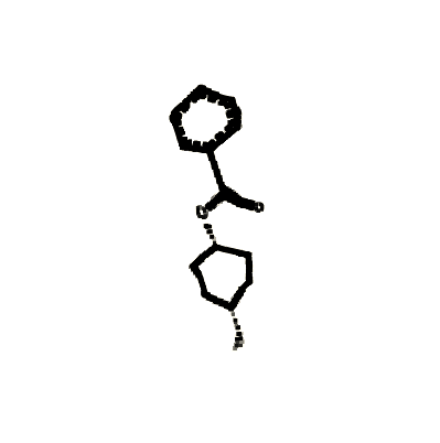 O=C(O[C@H]1CC[C@@H](F)CC1)c1ccccc1